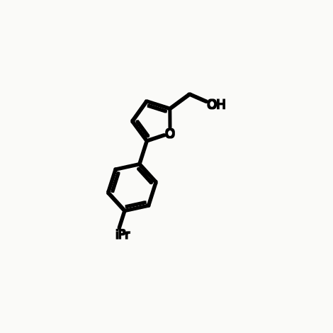 CC(C)c1ccc(-c2ccc(CO)o2)cc1